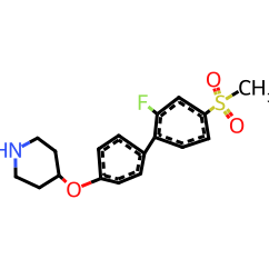 CS(=O)(=O)c1ccc(-c2ccc(OC3CCNCC3)cc2)c(F)c1